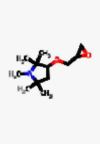 CN1C(C)(C)CC(OCC2CO2)C1(C)C